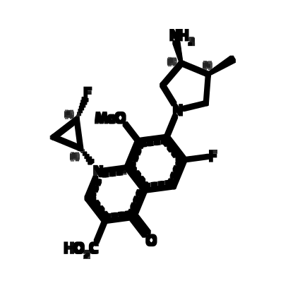 COc1c(N2C[C@@H](N)[C@@H](C)C2)c(F)cc2c(=O)c(C(=O)O)cn([C@@H]3C[C@@H]3F)c12